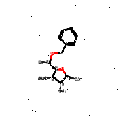 CC[C@@H](OCc1ccccc1)[C@H]1OC(OC(C)=O)[C@H](OC(C)=O)[C@@H]1OC